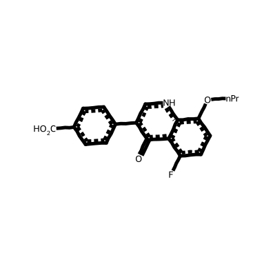 CCCOc1ccc(F)c2c(=O)c(-c3ccc(C(=O)O)cc3)c[nH]c12